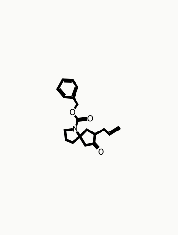 C=CCC1CC2(CCCN2C(=O)OCc2ccccc2)CC1=O